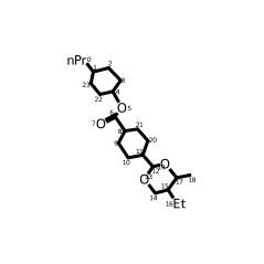 CCCC1CCC(OC(=O)C2CCC(C3OCC(CC)C(C)O3)CC2)CC1